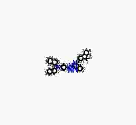 CC1(C)c2ccccc2-c2ccc(-c3n/c(=N/C(=N)c4ccc(-n5c6ccc7ccccc7c6c6c7ccccc7ccc65)cc4)[nH]c4ccccc34)cc21